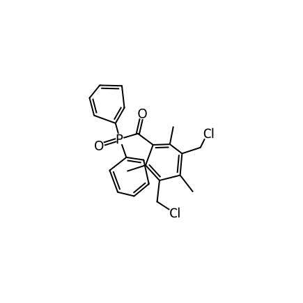 Cc1c(CCl)c(C)c(C(=O)P(=O)(c2ccccc2)c2ccccc2)c(C)c1CCl